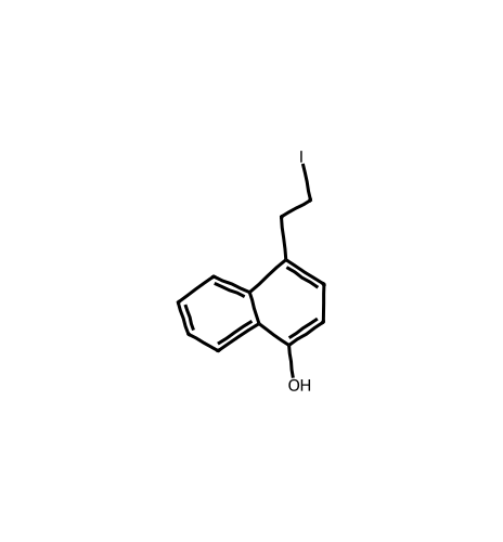 Oc1ccc(CCI)c2ccccc12